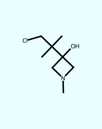 CN1CC(O)(C(C)(C)CCl)C1